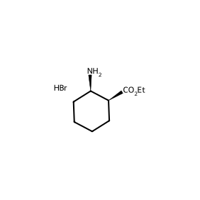 Br.CCOC(=O)[C@H]1CCCC[C@H]1N